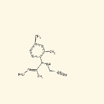 CC(=NO)C(NCC#N)c1ccc(C)cc1C